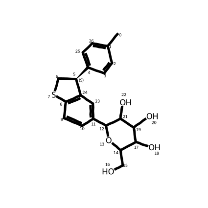 Cc1ccc([C@@H]2CSc3ccc(C4OC(CO)C(O)C(O)C4O)cc32)cc1